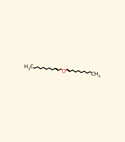 CCCCCCCCC=COC/C=C/CCCCCCCC